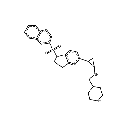 O=S(=O)(c1ccc2ccccc2c1)N1CCc2cc(C3CC3NCC3CCNCC3)ccc21